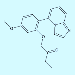 CCC(=O)COc1cc(OI)ccc1-c1cccc2nccn12